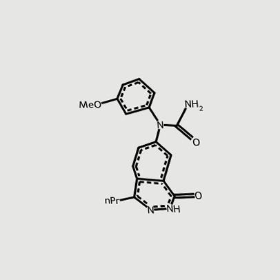 CCCc1n[nH]c(=O)c2cc(N(C(N)=O)c3cccc(OC)c3)ccc12